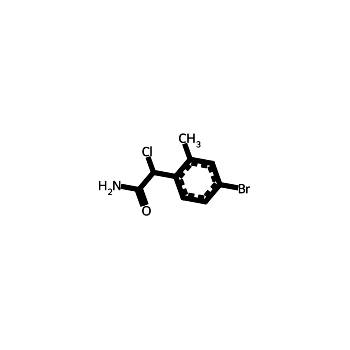 Cc1cc(Br)ccc1C(Cl)C(N)=O